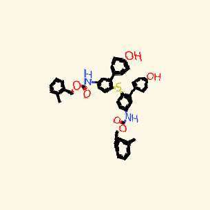 Cc1ccccc1COC(=O)Nc1ccc(Sc2ccc(NC(=O)OCc3ccccc3C)cc2-c2ccc(O)cc2)c(-c2ccc(O)cc2)c1